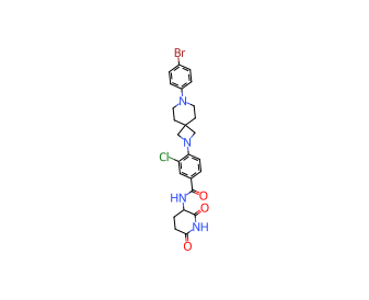 O=C1CCC(NC(=O)c2ccc(N3CC4(CCN(c5ccc(Br)cc5)CC4)C3)c(Cl)c2)C(=O)N1